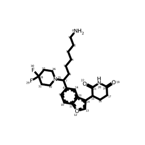 NCCCCCCC(c1ccc2occ(C3CCC(=O)NC3=O)c2c1)N1CCC(F)(F)CC1